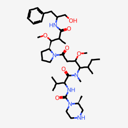 CCC(C)C(C(CC(=O)N1CCC[C@H]1C(OC)C(C)C(=O)NC(CO)Cc1ccccc1)OC)N(C)C(=O)C(NC(=O)N1CCNC[C@@H]1C)C(C)C